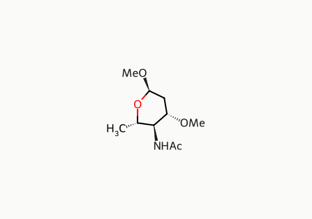 CO[C@H]1C[C@H](OC)[C@@H](NC(C)=O)[C@H](C)O1